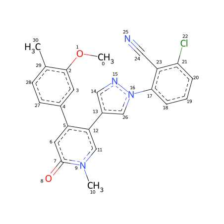 COc1cc(-c2cc(=O)n(C)cc2-c2cnn(-c3cccc(Cl)c3C#N)c2)ccc1C